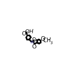 COc1ccc2c(c1)O/C(=C\c1ccc(C(=O)O)cc1)C2=O